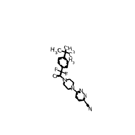 CC(C)(C)c1ccc(C(F)(F)C(=O)N2CCN(c3ccc(C#N)nn3)CC2)cc1